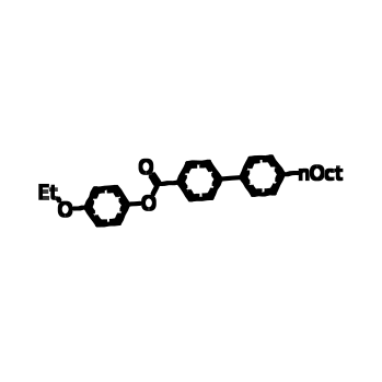 CCCCCCCCc1ccc(-c2ccc(C(=O)Oc3ccc(OCC)cc3)cc2)cc1